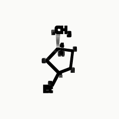 CCC1CC[C@@H](C)C1